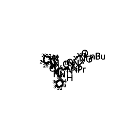 CCCCOC(=O)N1CCN(C(=O)[C@@H](NC(=O)c2cc(On3nnc4ccccc43)nc(-c3ccccc3)n2)C(C)C)CC1